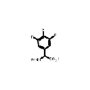 CC(=O)NC(C(=O)O)c1cc(F)c(F)c(F)c1